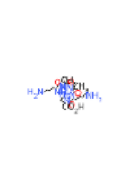 C[C@H](NC(=O)[C@H](C)NC(=O)[C@@H](N)CCCCN)C(=O)N[C@@H](CCCCN)C(=O)N1CCC[C@H]1C(=O)O